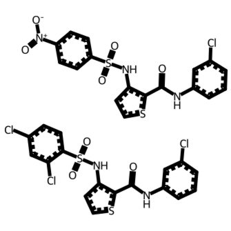 O=C(Nc1cccc(Cl)c1)c1sccc1NS(=O)(=O)c1ccc(Cl)cc1Cl.O=C(Nc1cccc(Cl)c1)c1sccc1NS(=O)(=O)c1ccc([N+](=O)[O-])cc1